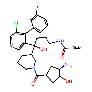 COC(=O)NCCC[C@@](O)(c1cccc(Cl)c1-c1cccc(C)c1)[C@@H]1CCCN(C(=O)[C@H]2C[C@@H](N)[C@@H](O)C2)C1